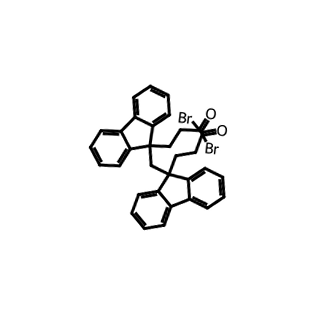 O=C(Br)CCC1(CC2(CCC(=O)Br)c3ccccc3-c3ccccc32)c2ccccc2-c2ccccc21